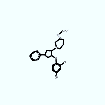 N#Cc1ccc(OC2CC(c3ccccc3)CC2N2CCC[C@@H](NC(=O)O)C2)c(Cl)c1